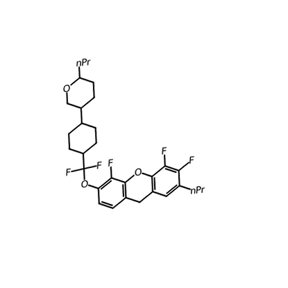 CCCc1cc2c(c(F)c1F)Oc1c(ccc(OC(F)(F)C3CCC(C4CCC(CCC)OC4)CC3)c1F)C2